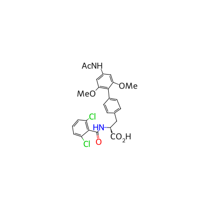 COc1cc(NC(C)=O)cc(OC)c1-c1ccc(C[C@H](NC(=O)c2c(Cl)cccc2Cl)C(=O)O)cc1